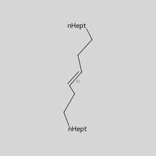 [CH2]CCCCCCCC/C=C/CCCCCCCCC